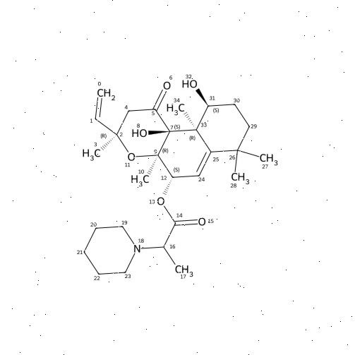 C=C[C@@]1(C)CC(=O)[C@@]2(O)[C@](C)(O1)[C@@H](OC(=O)C(C)N1CCCCC1)C=C1C(C)(C)CC[C@H](O)[C@@]12C